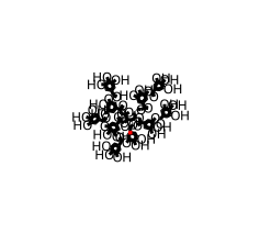 O=C(OC[C@H]1OC(OC(=O)c2cc(O)c(O)c(OC(=O)c3cc(O)c(O)c(O)c3)c2)C(OC(=O)c2cc(O)c(O)c(OC(=O)c3cc(O)c(O)c(O)c3)c2)[C@@H](OC(=O)c2cc(O)c(O)c(OC(=O)c3cc(O)c(O)c(O)c3)c2)[C@@H]1OC(=O)c1cc(O)c(O)c(OC(=O)c2cc(O)c(O)c(O)c2)c1)c1cc(O)c(O)c(OC(=O)c2cc(O)c(O)c(O)c2)c1